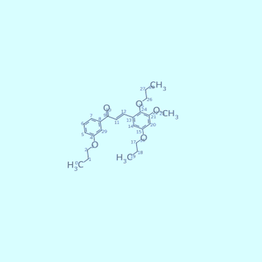 CCCOc1cccc(C(=O)/C=C/c2cc(OCCC)cc(OC)c2OCCC)c1